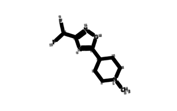 CN1CCC(c2nc(C(F)F)no2)CC1